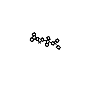 CC1(C)c2cc(-c3c4ccccc4c(-c4ccc5c(c4)c4ccccc4n5-c4ccccc4)c4ccccc34)ccc2-c2cc3c4ccccc4c4ccccc4c3cc21